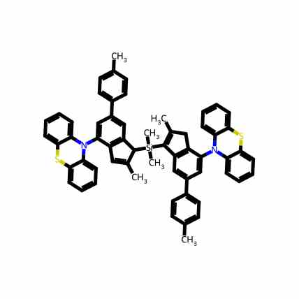 CC1=Cc2c(cc(-c3ccc(C)cc3)cc2N2c3ccccc3Sc3ccccc32)C1[Si](C)(C)C1=C(C)Cc2c1cc(-c1ccc(C)cc1)cc2N1c2ccccc2Sc2ccccc21